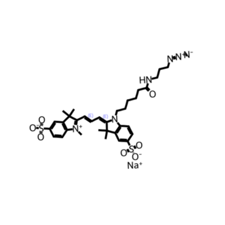 C[N+]1=C(/C=C/C=C2/N(CCCCCC(=O)NCCCN=[N+]=[N-])c3ccc(S(=O)(=O)[O-])cc3C2(C)C)C(C)(C)c2cc(S(=O)(=O)[O-])ccc21.[Na+]